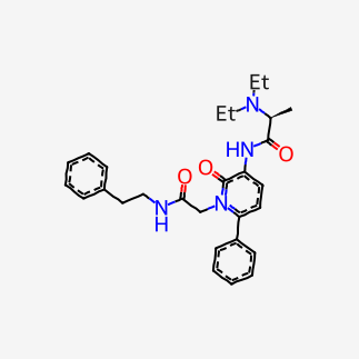 CCN(CC)[C@@H](C)C(=O)Nc1ccc(-c2ccccc2)n(CC(=O)NCCc2ccccc2)c1=O